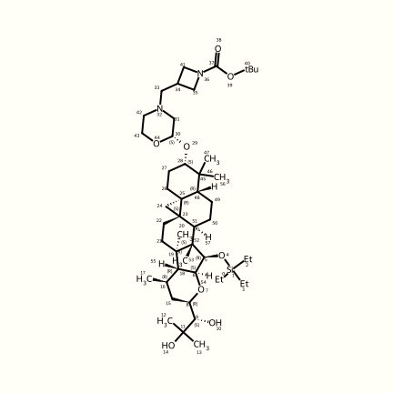 CC[Si](CC)(CC)O[C@H]1[C@H]2O[C@@H]([C@H](O)C(C)(C)O)C[C@@H](C)[C@@H]2[C@@]2(C)CC[C@@]34C[C@@]35CC[C@H](O[C@H]3CN(CC6CN(C(=O)OC(C)(C)C)C6)CCO3)C(C)(C)[C@@H]5CC[C@H]4[C@]12C